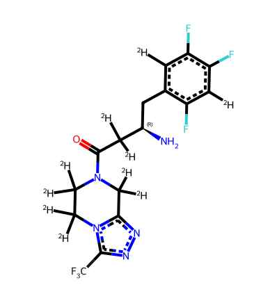 [2H]c1c(F)c(F)c([2H])c(C[C@@H](N)C([2H])([2H])C(=O)N2C([2H])([2H])c3nnc(C(F)(F)F)n3C([2H])([2H])C2([2H])[2H])c1F